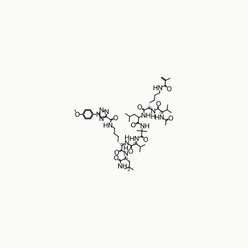 C=C(C)C(=O)NCCCC[C@H](NC(=O)[C@@H](NC(C)=O)C(C)C)C(=O)NC(CC(C)C)C(=O)NC(C)(C)C(=O)N[C@H](C(=O)N[C@@H](CCCCNC(=O)c1nnn(-c2ccc(OC)cc2)n1)C(=O)N[C@@H](CC(C)C)C(N)=O)C(C)C